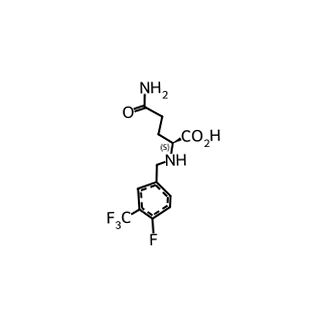 NC(=O)CC[C@H](NCc1ccc(F)c(C(F)(F)F)c1)C(=O)O